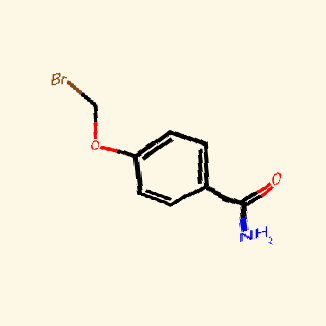 NC(=O)c1ccc(OCBr)cc1